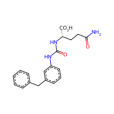 NC(=O)CC[C@H](NC(=O)Nc1cccc(Cc2ccccc2)c1)C(=O)O